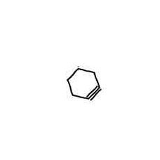 C1#CCC[CH]C1